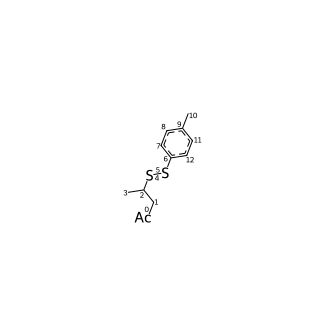 CC(=O)CC(C)SSc1ccc(C)cc1